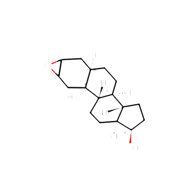 C[C@]12CC3OC3C[C@H]1CC[C@@H]1[C@@H]2CC[C@]2(C)[C@H](O)CC[C@@H]12